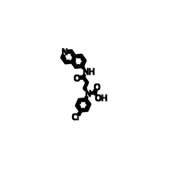 O=C(CCN(C(=O)O)c1ccc(Cl)cc1)Nc1ccc2cnccc2c1